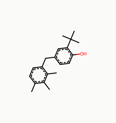 Cc1ccc(Cc2ccc(O)c(C(C)(C)C)c2)c(C)c1C